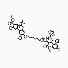 CCOC(=O)C1=C(COCCCCCCOc2cc3c(cc2OC)-c2cc(=O)c(C(=O)OCC)cn2C(C(C)(C)C)C3)NC(c2nccs2)=NC1c1ccc(F)cc1Cl